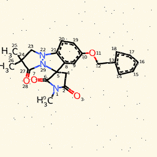 CN1C(=O)CC2(C1=O)c1cc(OCc3ccccc3)ccc1N1CC(C)(C)C(=O)N12